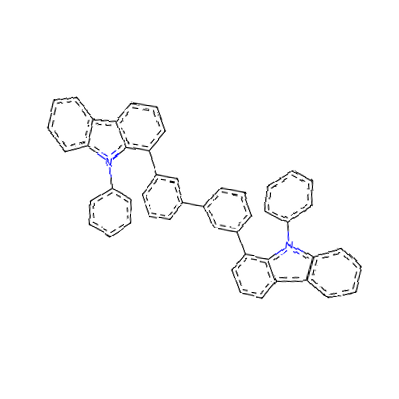 c1ccc(-n2c3ccccc3c3cccc(-c4cccc(-c5cccc(-c6cccc7c8ccccc8n(-c8ccccc8)c67)c5)c4)c32)cc1